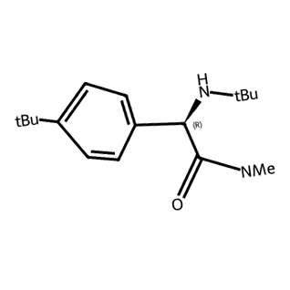 CNC(=O)[C@H](NC(C)(C)C)c1ccc(C(C)(C)C)cc1